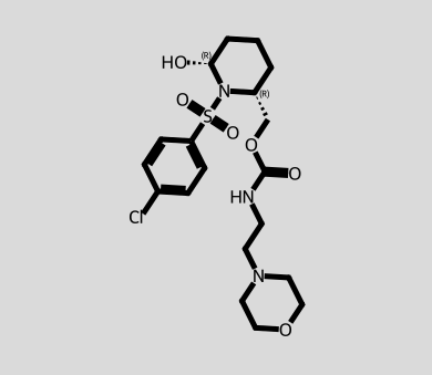 O=C(NCCN1CCOCC1)OC[C@H]1CCC[C@@H](O)N1S(=O)(=O)c1ccc(Cl)cc1